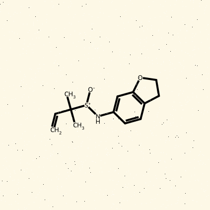 C=CC(C)(C)[S+]([O-])Nc1ccc2c(c1)OCC2